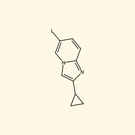 Ic1ccc2nc(C3CC3)cn2c1